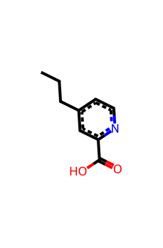 CCCc1ccnc(C(=O)O)c1